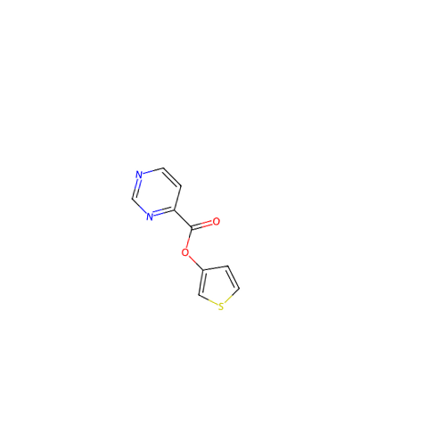 O=C(Oc1ccsc1)c1ccncn1